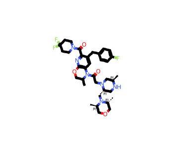 CC1COc2nc(C(=O)N3CCC(F)(F)CC3)c(Cc3ccc(F)cc3)cc2N1C(=O)CN1C[C@@H](C)NC[C@@H]1CN1[C@H](C)COC[C@H]1C